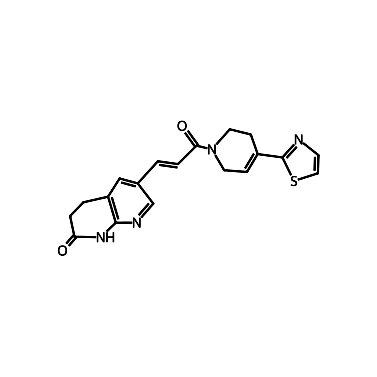 O=C1CCc2cc(/C=C/C(=O)N3CC=C(c4nccs4)CC3)cnc2N1